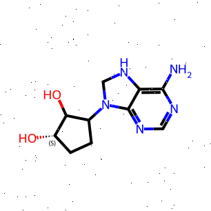 Nc1ncnc2c1NCN2C1CC[C@H](O)C1O